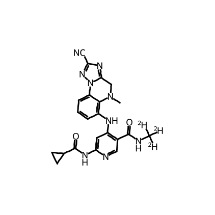 [2H]C([2H])([2H])NC(=O)c1cnc(NC(=O)C2CC2)cc1Nc1cccc2c1N(C)Cc1nc(C#N)nn1-2